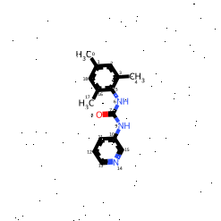 Cc1cc(C)c(NC(=O)Nc2cccnc2)c(C)c1